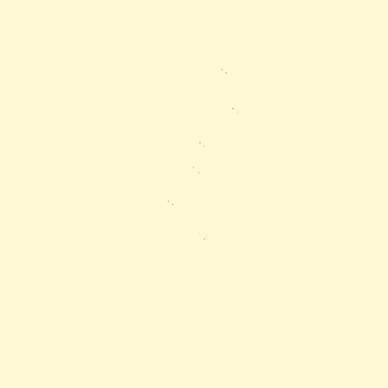 Cc1ccsc1C(=O)Nc1cn2nc(SC3=NCCN3C)ccc2n1